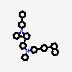 c1ccc(-c2ccc(-n3c4ccccc4c4c(-c5cccc(N(c6ccccc6)c6ccc(-c7ccc(-c8cccc9ccccc89)cc7)cc6)c5)cccc43)cc2)cc1